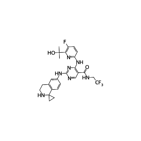 CC(C)(O)c1nc(Nc2nc(Nc3ccc4c(c3)CCNC43CC3)ncc2C(=O)NCC(F)(F)F)ccc1F